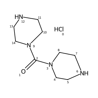 Cl.O=C(N1CCNCC1)N1CCNCC1